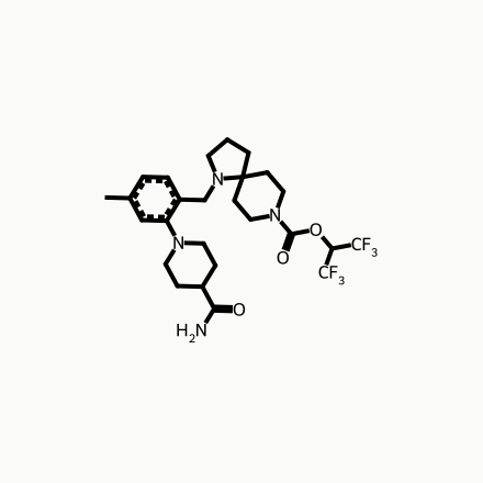 Cc1ccc(CN2CCCC23CCN(C(=O)OC(C(F)(F)F)C(F)(F)F)CC3)c(N2CCC(C(N)=O)CC2)c1